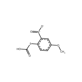 COc1ccc(SC(=O)O)c([N+](=O)[O-])c1